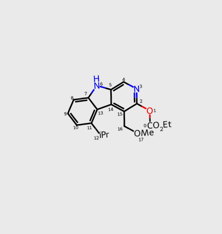 CCOC(=O)Oc1ncc2[nH]c3cccc(C(C)C)c3c2c1COC